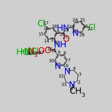 CN1CCCN(c2ccc(C(=O)Nc3ccc(Cl)cc3C(=O)Nc3ccc(Cl)cn3)cn2)CC1.Cl.Cl.Cl.O